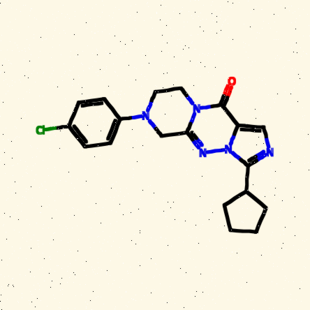 O=c1c2cnc(C3CCCC3)n2nc2n1CCN(c1ccc(Cl)cc1)C2